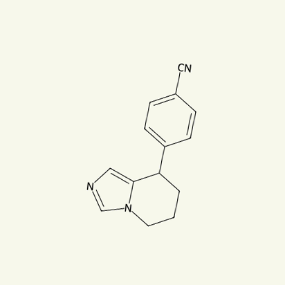 N#Cc1ccc(C2CCCn3cncc32)cc1